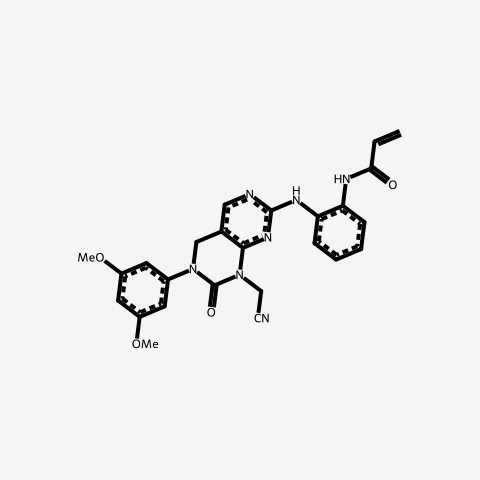 C=CC(=O)Nc1ccccc1Nc1ncc2c(n1)N(CC#N)C(=O)N(c1cc(OC)cc(OC)c1)C2